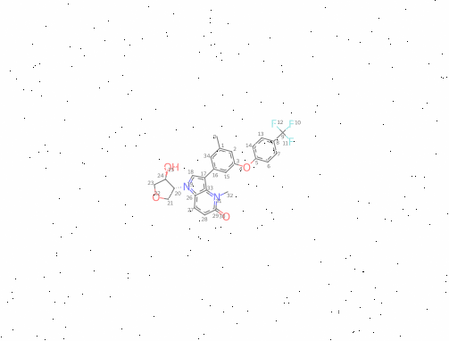 Cc1cc(Oc2ccc(C(F)(F)F)cc2)cc(-c2cn([C@@H]3COC[C@H]3O)c3ccc(=O)n(C)c23)c1